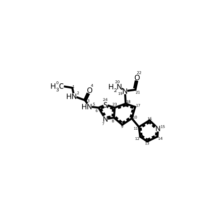 CCNC(=O)Nc1nc2cc(-c3cccnc3)cc(N(N)C=O)c2s1